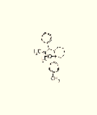 Cc1ccc(C2(O)CCCCC2C(c2ccccc2)N(C)C)cc1